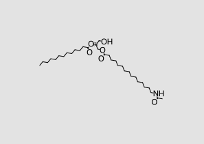 CCCCCCCCCCCCC(=O)O[C@@H](CO)COC(=O)CCCCCCCCCCCCCCNC(C)=O